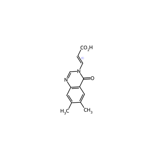 Cc1cc2ncn(/C=C/C(=O)O)c(=O)c2cc1C